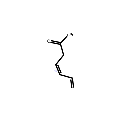 C=C/C=C\CC(=O)CCC